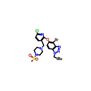 CC(C)(C)Cn1nnc2c(Br)c(Oc3nc(Cl)ccc3CN3CCN(S(C)(=O)=O)CC3)ccc21